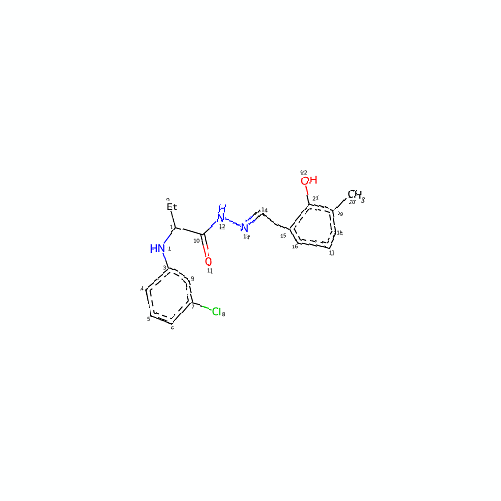 CCC(Nc1cccc(Cl)c1)C(=O)NN=Cc1cccc(C)c1O